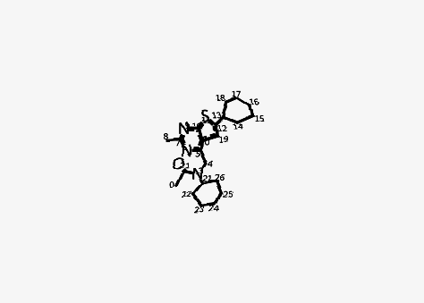 CC(=O)N(Cc1nc(C)nc2sc(C3CCCCC3)cc12)C1CCCCC1